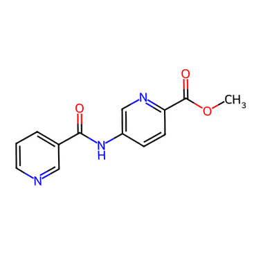 COC(=O)c1ccc(NC(=O)c2cccnc2)cn1